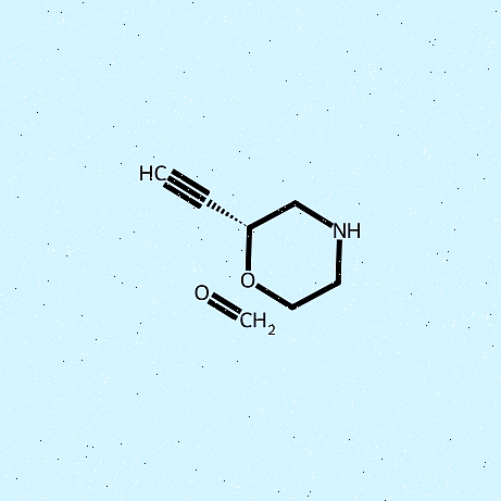 C#C[C@@H]1CNCCO1.C=O